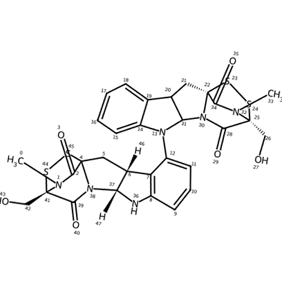 CN1C(=O)C23C[C@@H]4c5c(cccc5N5c6ccccc6C6C[C@@]78SS[C@@](CO)(C(=O)N7C65)N(C)C8=O)N[C@@H]4N2C(=O)[C@]1(CO)SS3